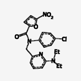 CCN(CC)c1cccc(CN(C(=O)c2ccc([N+](=O)[O-])o2)c2ccc(Cl)cc2)n1